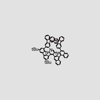 CC(C)(C)c1cc(-c2ccc3c(c2)c2ccccc2n3-c2ccccc2)c2c(c1)c1cc(C(C)(C)C)cc3c4c5c6cc7ccccc7c7c8c9ccccc9cc(-c9ccc%10c(c9)c9ccccc9n%10-c9ccccc9)c8n(c5cnc4n2c13)c67